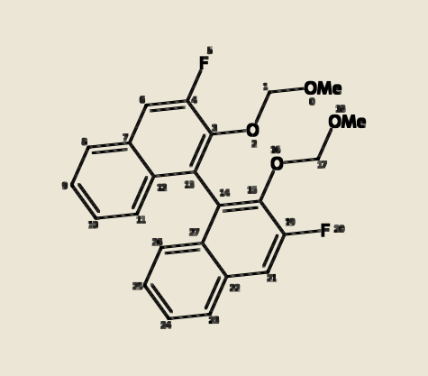 COCOc1c(F)cc2ccccc2c1-c1c(OCOC)c(F)cc2ccccc12